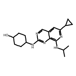 CC(C)Nc1nc(C2CC2)cc2cnc(NC3CCC(O)CC3)nc12